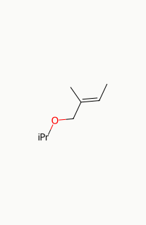 C/C=C(\C)COC(C)C